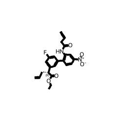 C=CCC(=O)Nc1cc([N+](=O)[O-])ccc1-c1cc(F)cc([C@@H](CC=C)C(=O)OCC)c1